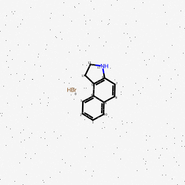 Br.c1ccc2c3c(ccc2c1)NCC3